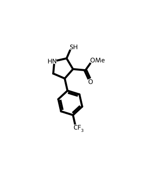 COC(=O)C1C(S)NCC1c1ccc(C(F)(F)F)cc1